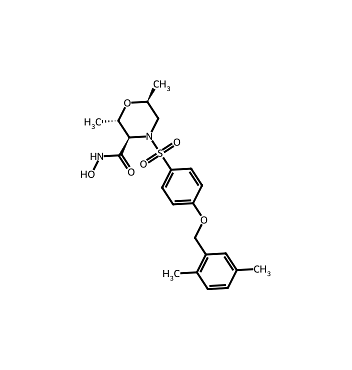 Cc1ccc(C)c(COc2ccc(S(=O)(=O)N3C[C@H](C)O[C@@H](C)[C@@H]3C(=O)NO)cc2)c1